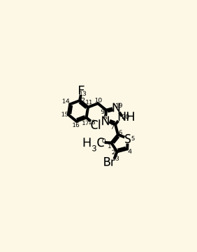 Cc1c(Br)csc1-c1nc(Cc2c(F)cccc2Cl)n[nH]1